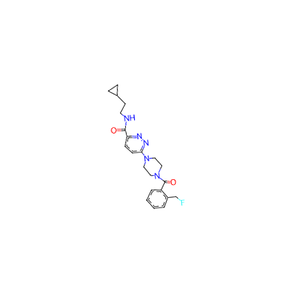 O=C(NCCC1CC1)c1ccc(N2CCN(C(=O)c3ccccc3CF)CC2)nn1